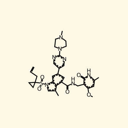 C=CCC1(S(=O)(=O)n2cc(C)c3c(C(=O)NCc4c(OC)cc(C)[nH]c4=O)cc(-c4cnc(N5CCN(C)CC5)nc4)cc32)CC1